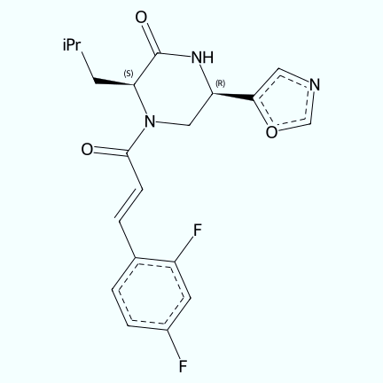 CC(C)C[C@H]1C(=O)N[C@@H](c2cnco2)CN1C(=O)C=Cc1ccc(F)cc1F